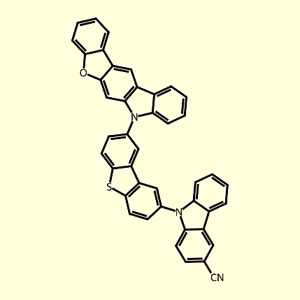 N#Cc1ccc2c(c1)c1ccccc1n2-c1ccc2sc3ccc(-n4c5ccccc5c5cc6c(cc54)oc4ccccc46)cc3c2c1